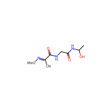 CO/N=C(\C#N)C(=O)NCC(=O)NC(C)O